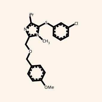 COc1ccc(COCc2nc(C(C)C)c(Sc3cccc(Cl)c3)n2C)cc1